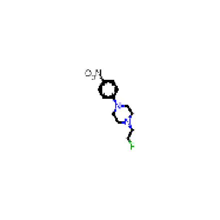 O=[N+]([O-])c1ccc(N2CCN(CCF)CC2)cc1